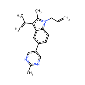 C=CCn1c(C)c(C(=C)C)c2cc(-c3cnc(C)nc3)ccc21